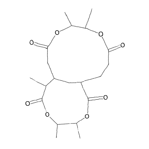 CC1OC(=O)CCC2CC(CC(=O)OC1C)C(C)C(=O)OC(C)C(C)OC2=O